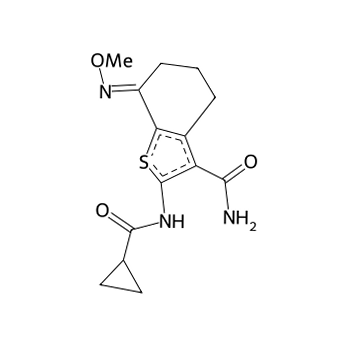 CO/N=C1\CCCc2c1sc(NC(=O)C1CC1)c2C(N)=O